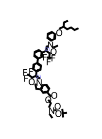 CCCCC(CC)COc1cccc(N(/C=C(\C(=O)C(F)(F)F)c2cccc(-c3ccc(/C(=C/N4CCc5cc(C(=O)OCCN(CC)C(=O)OC(C)(C)C)ccc54)C(=O)C(F)(F)F)cc3)c2)CC)c1